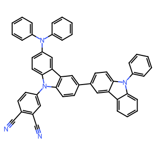 N#Cc1ccc(-n2c3ccc(-c4ccc5c(c4)c4ccccc4n5-c4ccccc4)cc3c3cc(N(c4ccccc4)c4ccccc4)ccc32)cc1C#N